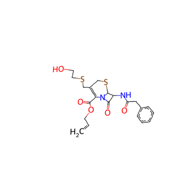 C=CCOC(=O)C1=C(CSCCO)CSC2C(NC(=O)Cc3ccccc3)C(=O)N12